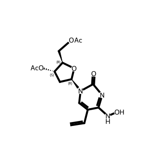 C=Cc1cn([C@H]2C[C@H](OC(C)=O)[C@@H](COC(C)=O)O2)c(=O)nc1NO